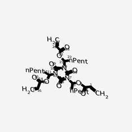 C=CC(=O)OC(CCCCC)n1c(=O)n(C(CCCCC)OC(=O)C=C)c(=O)n(C(CCCCC)OC(=O)C=C)c1=O